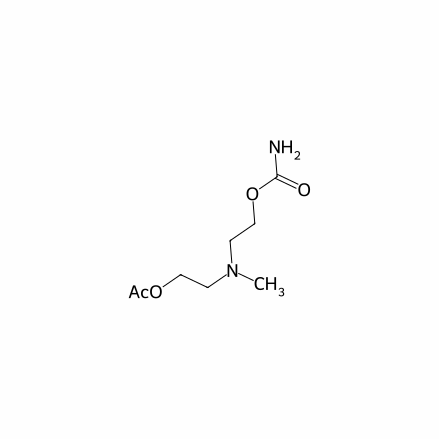 CC(=O)OCCN(C)CCOC(N)=O